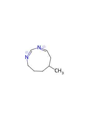 CC1C/C=N\C=N/CCC1